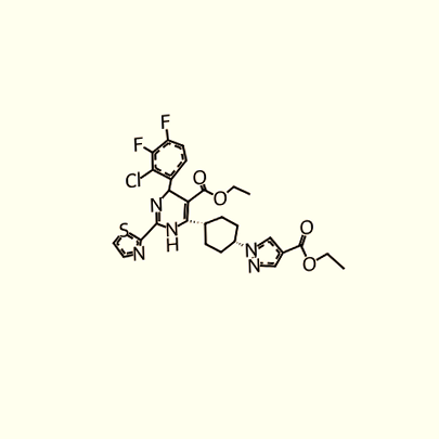 CCOC(=O)C1=C([C@H]2CC[C@@H](n3cc(C(=O)OCC)cn3)CC2)NC(c2nccs2)=NC1c1ccc(F)c(F)c1Cl